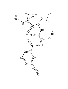 CC(C)CC(NC(=O)[C@H](CO)NC(=O)c1cccc(C#N)c1)C(=O)C1(CO)CO1